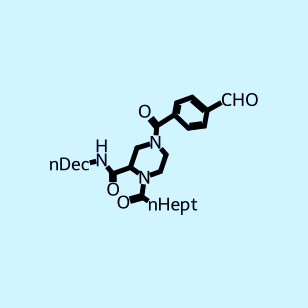 CCCCCCCCCCNC(=O)C1CN(C(=O)c2ccc(C=O)cc2)CCN1C(=O)CCCCCCC